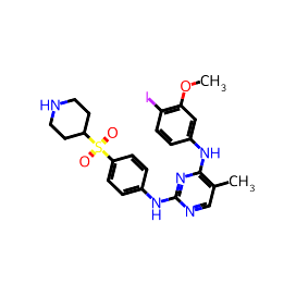 COc1cc(Nc2nc(Nc3ccc(S(=O)(=O)C4CCNCC4)cc3)ncc2C)ccc1I